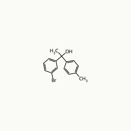 Cc1ccc(C(C)(O)c2cccc(Br)c2)cc1